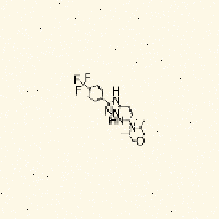 CC1COCC(C)N1C(=N)/C=C\c1nnc(-c2ccc(C(F)(F)F)cc2)[nH]1